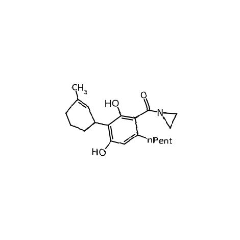 CCCCCc1cc(O)c(C2C=C(C)CCC2)c(O)c1C(=O)N1CC1